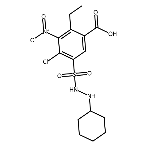 CCc1c(C(=O)O)cc(S(=O)(=O)NNC2CCCCC2)c(Cl)c1[N+](=O)[O-]